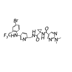 CN(C)c1ncc(C(=O)NC2(C(=O)NCc3ccc(Nc4ccc(Br)cc4C(F)(F)F)cn3)CC2)cn1